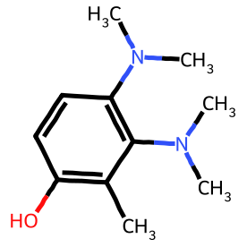 Cc1c(O)ccc(N(C)C)c1N(C)C